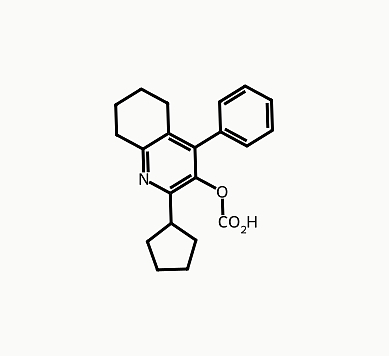 O=C(O)Oc1c(C2CCCC2)nc2c(c1-c1ccccc1)CCCC2